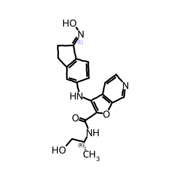 C[C@H](CO)NC(=O)c1oc2cnccc2c1Nc1ccc2c(c1)CC/C2=N\O